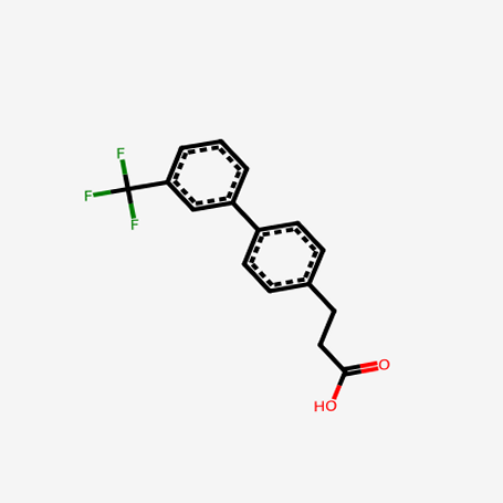 O=C(O)CCc1ccc(-c2cccc(C(F)(F)F)c2)cc1